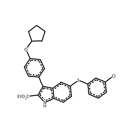 CCOC(=O)c1[nH]c2ccc(Sc3cccc(Cl)c3)cc2c1-c1ccc(OC2CCCC2)cc1